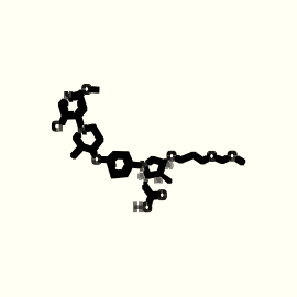 COCOCCCO[C@H]1CN(c2ccc(OC3CCN(c4cc(OC)ncc4Cl)CC3C)cc2)[C@@H](CC(=O)O)[C@@H]1C